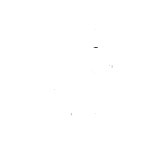 CCNC(=O)[C@H](NC(=O)C1(c2ccc3[nH]c(C[C@H]4c5cc(F)ccc5CC45CC5)nc3c2)CCOC1)C1(C)CCC1